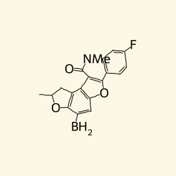 Bc1cc2oc(-c3ccc(F)cc3)c(C(=O)NC)c2c2c1OC(C)C2